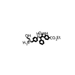 CCOC(=O)c1ccc2c(c1)NC(=O)/C2=C(\Nc1ccc(CN(C)CCO)cc1)c1ccccc1